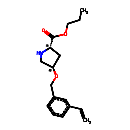 C=Cc1cccc(CO[C@H]2CN[C@H](C(=O)OCCC)C2)c1